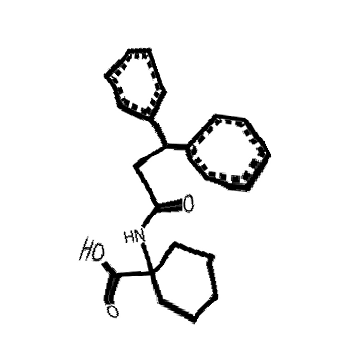 O=C(CC(c1ccccc1)c1ccccc1)NC1(C(=O)O)CCCCC1